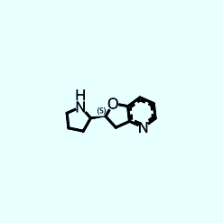 c1cnc2c(c1)O[C@H](C1CCCN1)C2